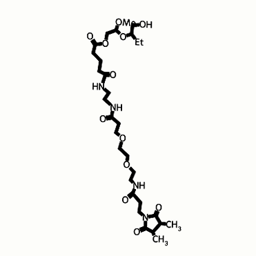 CCC(CO)OC(COC(=O)CCCC(=O)NCCNC(=O)CCOCCOCCNC(=O)CCN1C(=O)C(C)C(C)C1=O)OC